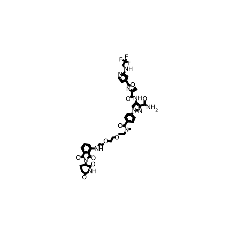 CN(CCOCCOCCNc1cccc2c1C(=O)N(C1CCC(=O)NC1=O)C2=O)C(=O)c1ccc(-n2cc(NC(=O)c3coc(-c4ccnc(NCC(F)(F)F)c4)n3)c(C(N)=O)n2)cc1